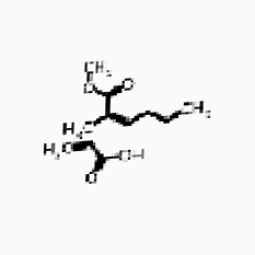 C=CC(=O)O.CCCC=C(C)C(=O)OC